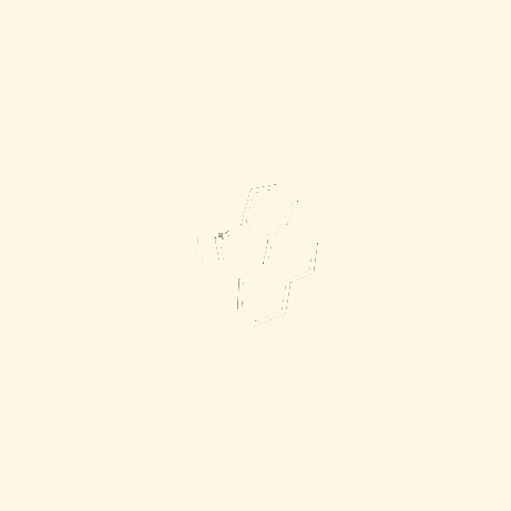 CCOC(C)=O.c1cc2ccc3cccc4ccc(c1)c2c34